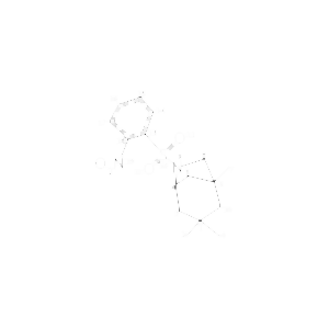 CC1(C)CC2CC(C)(CN2S(=O)(=O)c2ccccc2[N+](=O)[O-])C1